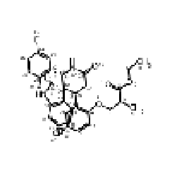 CCOC(=O)C(C)COc1ccc(Cl)cc1[C@@H]1CC(=O)N[C@@H](c2cc(F)ccc2F)[C@@]12C(=O)Nc1cc(Cl)ccc12